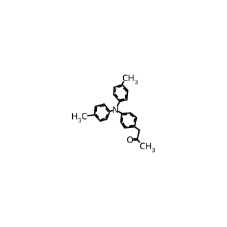 CC(=O)Cc1ccc(N(c2ccc(C)cc2)c2ccc(C)cc2)cc1